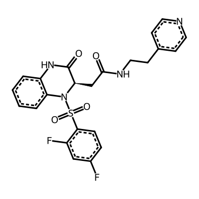 O=C(C[C@@H]1C(=O)Nc2ccccc2N1S(=O)(=O)c1ccc(F)cc1F)NCCc1ccncc1